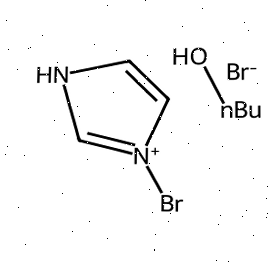 Br[n+]1cc[nH]c1.CCCCO.[Br-]